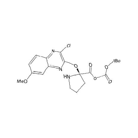 COc1ccc2nc(Cl)c(O[C@@]3(C(=O)OC(=O)OC(C)(C)C)CCCN3)nc2c1